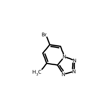 Cc1cc(Br)cn2nnnc12